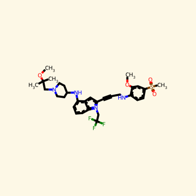 COc1cc(S(C)(=O)=O)ccc1NCC#Cc1cc2c(NC3CCN(CC(C)(C)OC)CC3)cccc2n1CC(F)(F)F